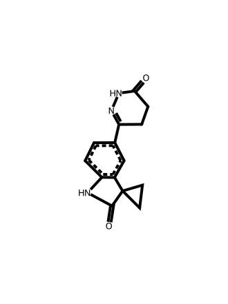 O=C1CCC(c2ccc3c(c2)C2(CC2)C(=O)N3)=NN1